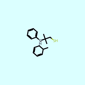 CC1C=CC=CC1[SiH](c1ccccc1)C(C)(C)CS